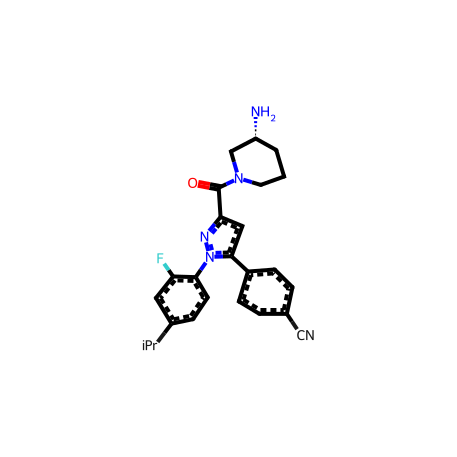 CC(C)c1ccc(-n2nc(C(=O)N3CCC[C@@H](N)C3)cc2-c2ccc(C#N)cc2)c(F)c1